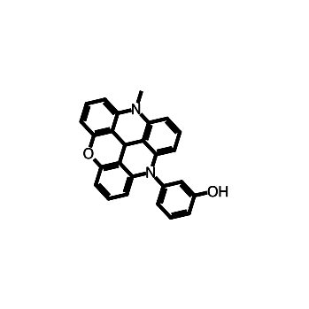 CN1c2cccc3c2C2c4c(cccc4N(c4cccc(O)c4)c4cccc1c42)O3